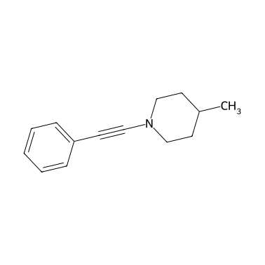 CC1CCN(C#Cc2ccccc2)CC1